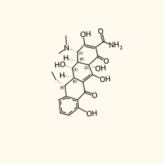 CC[C@H]1c2cccc(O)c2C(=O)C2=C(O)[C@]3(O)C(=O)C(C(N)=O)=C(O)[C@@H](N(C)C)[C@@H]3[C@@H](O)[C@@H]21